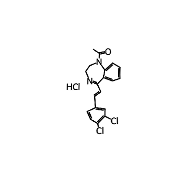 CC(=O)N1CCN=C(/C=C/c2ccc(Cl)c(Cl)c2)c2ccccc21.Cl